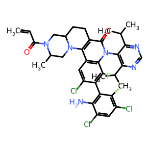 C=CC(=O)N1CC2CCc3c(c4cc(Cl)c(-c5c(N)c(Cl)cc(Cl)c5F)c(F)c4n(-c4c(C(C)C)ncnc4C(C)C)c3=O)N2CC1C